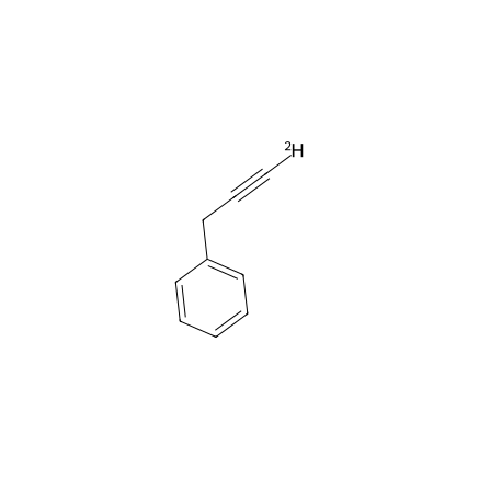 [2H]C#CCc1ccccc1